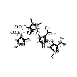 CCOC(=O)c1c(C)nn(C)c1C.CCOC(=O)c1c[nH]nc1C(F)F.CCOC(=O)c1cn(C)nc1C.CCOC(=O)c1cn(C)nc1C(F)F